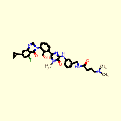 CN(C)C/C=C/C(=O)NCc1cccc(Nc2nc(-c3cccc(-n4cnc5cc(C6CC6)cc(F)c5c4=O)c3CO)cn(C)c2=O)c1